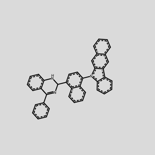 c1ccc(C2=NC(c3ccc(-n4c5ccccc5c5cc6ccccc6cc54)c4ccccc34)Nc3ccccc32)cc1